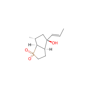 C/C=C/[C@@]1(O)C[C@@H](C)[C@H]2[C@@H]1CCS2(=O)=O